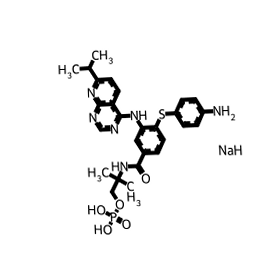 CC(C)c1ccc2c(Nc3cc(C(=O)NC(C)(C)COP(=O)(O)O)ccc3Sc3ccc(N)cc3)ncnc2n1.[NaH]